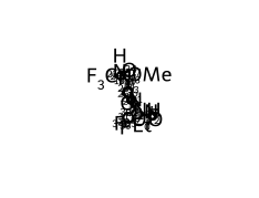 CCc1ocnc1C(=O)N[C@H](c1nc2cc([C@@H](COC)N3C[C@@H](C(F)(F)F)NC3=O)ccc2o1)C1CCC(F)(F)CC1